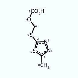 Cc1nnc(SCOC(=O)O)s1